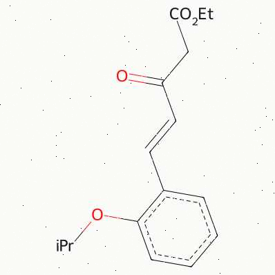 CCOC(=O)CC(=O)C=Cc1ccccc1OC(C)C